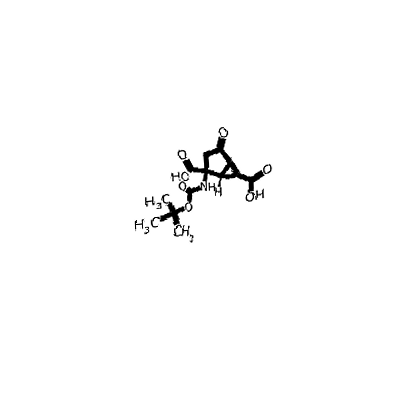 CC(C)(C)OC(=O)NC1(C(=O)O)CC(=O)C2C(C(=O)O)[C@@H]21